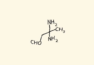 CC(N)(N)CC=O